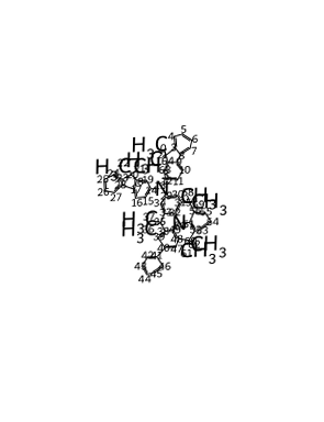 CC1(C)c2ccccc2-c2ccc(N(c3ccc4c(c3)C(C)(C)c3ccccc3-4)c3cc4c5c(c3)C(C)(C)c3cc(-c6ccccc6)cc6c3N5c3c(cccc3C4(C)C)C6(C)C)cc21